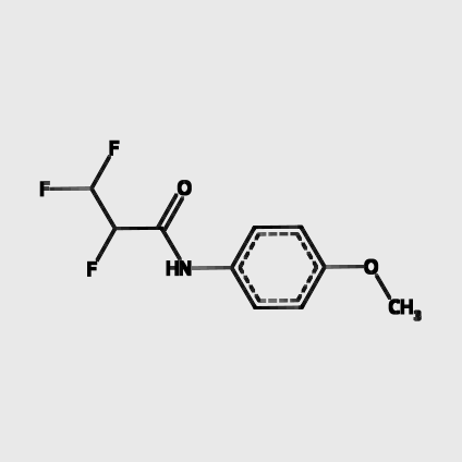 COc1ccc(NC(=O)C(F)C(F)F)cc1